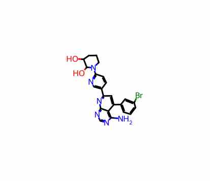 Nc1ncnc2nc(-c3ccc(N4CCCC(O)C4O)nc3)cc(-c3cccc(Br)c3)c12